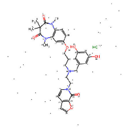 CCN1C(=O)C(C)(C)C(=O)N(C)c2cc(OCCCN(CCn3ccc4ccoc4c3=O)Cc3cc(O)cc(O)c3)ccc21.Cl